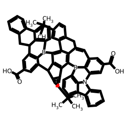 CC(C)(C)c1ccc2c(c1)-c1c3c4c(c5c1C(=Cc1cc(C(=O)O)cc6c1B5c1cccc5c7ccccc7n-6c15)C2)-c1cc(C(C)(C)C)ccc1C4c1cc(C(=O)O)cc2c1B3c1cccc3c1C2Cc1ccccc1-3